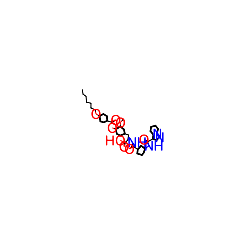 CCCCCCCOc1ccc(C(=O)Oc2ccc(CC(NC(=O)c3cccc(NC(=O)c4cnn5ccccc45)c3)C(=O)O)cc2OC)cc1